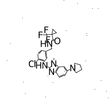 Cn1c(Nc2cc(CNC(=O)C3(C(F)(F)F)CC3)ccc2Cl)nc2ccc(N3CCCC3)cc21